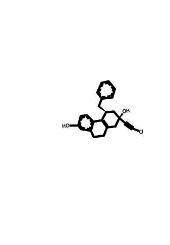 Oc1ccc2c(c1)CCC1=C2[C@@H](Cc2ccccc2)C[C@](O)(C#CCl)C1